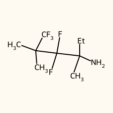 CCC(C)(N)C(F)(F)C(C)(C)C(F)(F)F